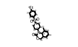 CCc1ccc(S(=O)(=O)N2CCC(N3C(=O)OCC4C=CC=C(C)C43)CC2)cc1